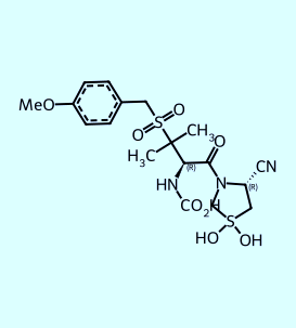 COc1ccc(CS(=O)(=O)C(C)(C)[C@H](NC(=O)O)C(=O)N2CS(O)(O)C[C@H]2C#N)cc1